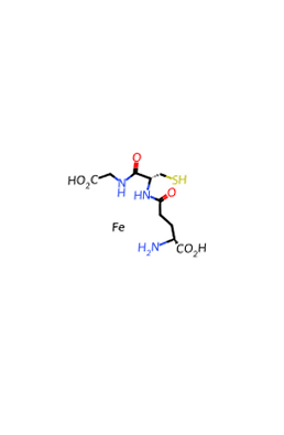 N[C@@H](CCC(=O)N[C@@H](CS)C(=O)NCC(=O)O)C(=O)O.[Fe]